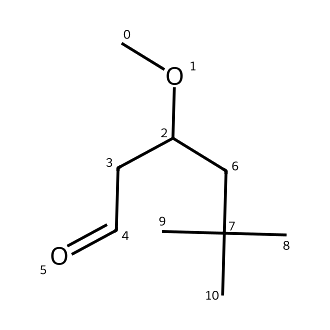 COC(CC=O)CC(C)(C)C